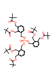 CC(C)(C)C(=O)OCc1cccc(COP(=O)(OCc2cccc(COC(=O)C(C)(C)C)c2COC(=O)C(C)(C)C)OCc2cccc(COC(=O)C(C)(C)C)c2COC(=O)C(C)(C)C)c1COC(=O)C(C)(C)C